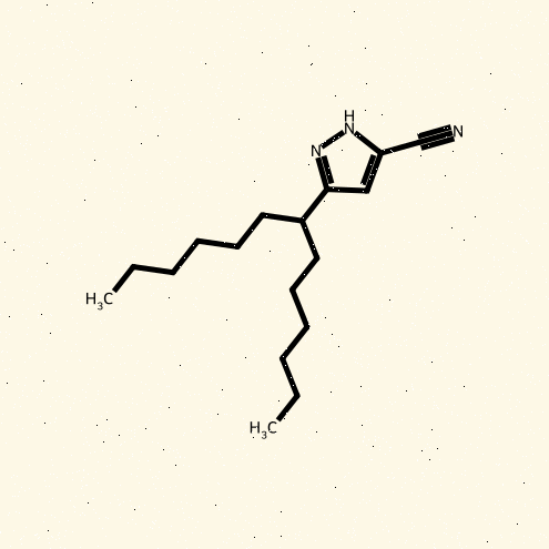 CCCCCCC(CCCCCC)c1cc(C#N)[nH]n1